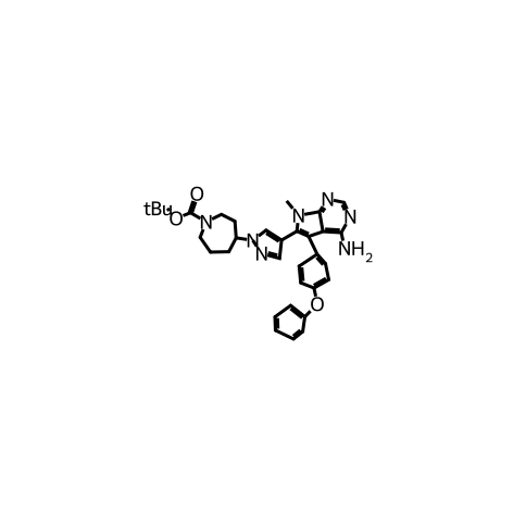 Cn1c(-c2cnn(C3CCCN(C(=O)OC(C)(C)C)CC3)c2)c(-c2ccc(Oc3ccccc3)cc2)c2c(N)ncnc21